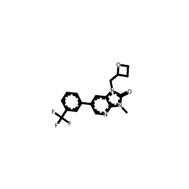 Cn1c(=O)n(CC2CCO2)c2cc(-c3cccc(C(F)(F)F)c3)cnc21